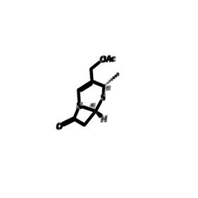 CC(=O)OCC1=CN2C(=O)C[C@H]2S[C@H]1C